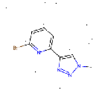 Cn1cc(-c2cccc(Br)n2)nn1